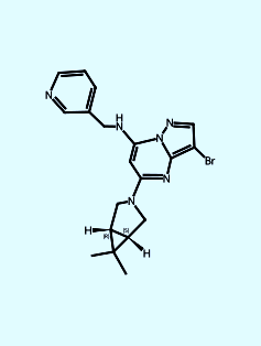 CC1(C)[C@@H]2CN(c3cc(NCc4cccnc4)n4ncc(Br)c4n3)C[C@@H]21